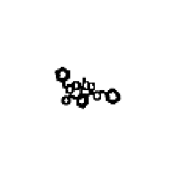 COC(=O)c1c(C(=O)OCc2ccccc2)cccc1C(=O)OCc1ccccc1